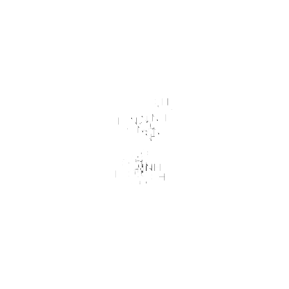 C=CCNc1nc(N)nc2c1ncn2CCOCP(=O)(NC(C)C(=O)OC1CCC1)NC(C)C(=O)OC1CCC1